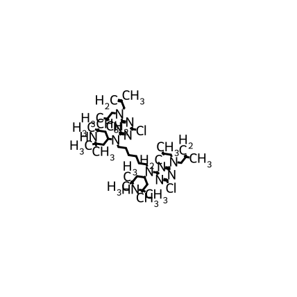 C=C(C)CN(CC(=C)C)c1nc(Cl)nc(N(CCCCCCN(c2nc(Cl)nc(N(CC(=C)C)CC(=C)C)n2)C2CC(C)(C)NC(C)(C)C2)C2CC(C)(C)NC(C)(C)C2)n1